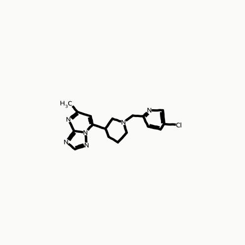 Cc1cc(C2CCCN(Cc3ccc(Cl)cn3)C2)n2ncnc2n1